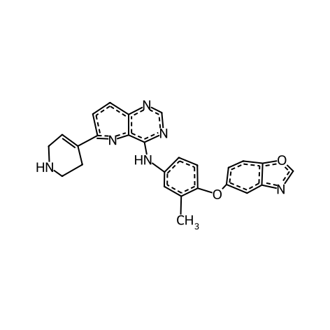 Cc1cc(Nc2ncnc3ccc(C4=CCNCC4)nc23)ccc1Oc1ccc2ocnc2c1